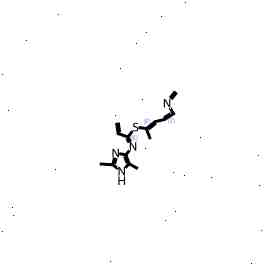 C=C/C(=N\c1nc(C)[nH]c1C)S/C(C)=C/C=C\N=C